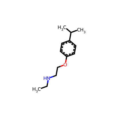 CCNCCOc1ccc(C(C)C)cc1